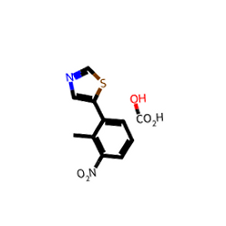 Cc1c(-c2cncs2)cccc1[N+](=O)[O-].O=C(O)O